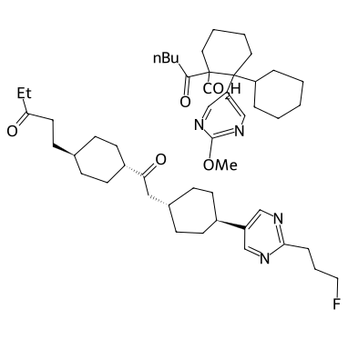 CCC(=O)CC[C@H]1CC[C@H](C(=O)C[C@H]2CC[C@H](c3cnc(CCCF)nc3)CC2)CC1.CCCCC(=O)C1(C(=O)O)CCCCC1(c1cnc(OC)nc1)C1CCCCC1